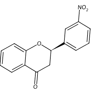 O=C1C[C@H](c2cccc([N+](=O)[O-])c2)Oc2ccccc21